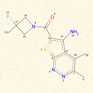 Cc1nnc2sc(C(=O)N3CC(C)(F)C3)c(N)c2c1C